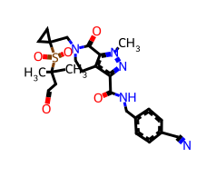 Cn1nc(C(=O)NCc2ccc(C#N)cc2)c2c1C(=O)N(CC1(S(=O)(=O)C(C)(C)CC=O)CC1)CC2